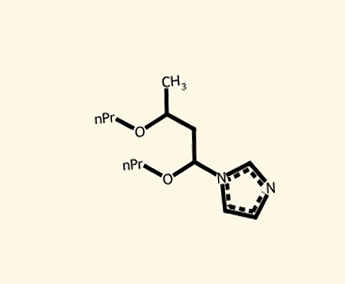 CCCOC(C)CC(OCCC)n1ccnc1